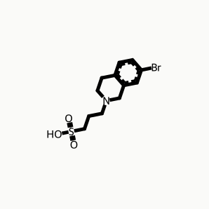 O=S(=O)(O)CCCN1CCc2ccc(Br)cc2C1